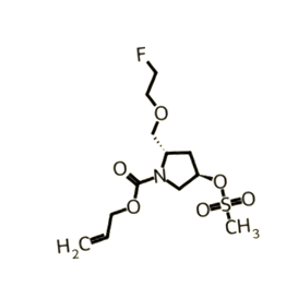 C=CCOC(=O)N1C[C@H](OS(C)(=O)=O)C[C@H]1COCCF